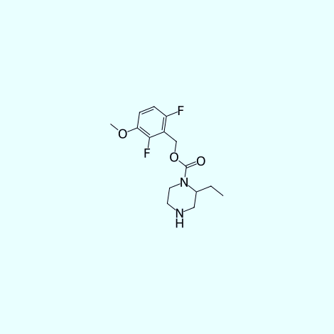 CCC1CNCCN1C(=O)OCc1c(F)ccc(OC)c1F